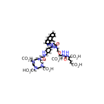 O=CC1(CN[C@@H](Cc2c3ccccc3cc3ccccc23)C(=O)NCCOC[C@H](NC(=O)N[C@@H](CCCC(=O)O)C(=O)O)C(=O)O)CCC(CNC(=O)CN2CCN(CC(=O)O)CCN(CC(=O)O)CCN(CC(=O)O)CC2)CC1